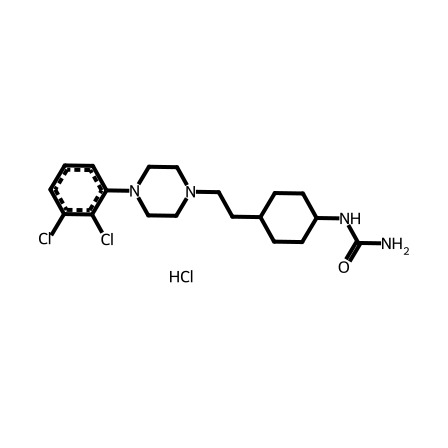 Cl.NC(=O)NC1CCC(CCN2CCN(c3cccc(Cl)c3Cl)CC2)CC1